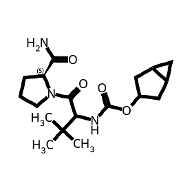 CC(C)(C)C(NC(=O)OC1CC2CC2C1)C(=O)N1CCC[C@H]1C(N)=O